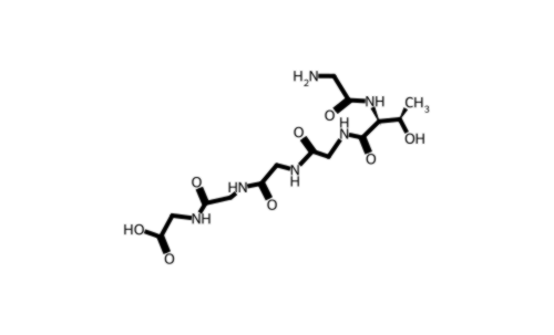 C[C@@H](O)[C@H](NC(=O)CN)C(=O)NCC(=O)NCC(=O)NCC(=O)NCC(=O)O